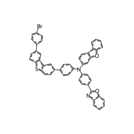 Brc1ccc(-c2ccc3sc4ccc(-c5ccc(N(c6ccc(-c7nc8ccccc8o7)cc6)c6ccc7c(c6)oc6ccccc67)cc5)cc4c3c2)cc1